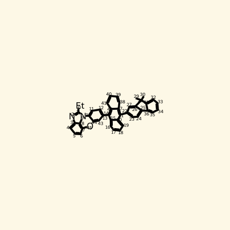 CCc1nc2cccc3c2n1-c1ccc(-c2c4ccccc4c(-c4ccc5c(c4)C(C)(C)c4ccccc4-5)c4ccccc24)cc1O3